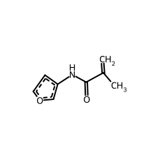 C=C(C)C(=O)Nc1ccoc1